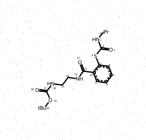 CC(C)NC(=O)Sc1ccccc1C(=O)NCCNC(=O)OC(C)(C)C